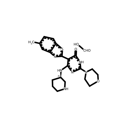 Cc1ccc2sc(-c3c(N[C@@H]4CCCNC4)nc(N4CCOCC4)[nH]c3=O)nc2c1.O=CO